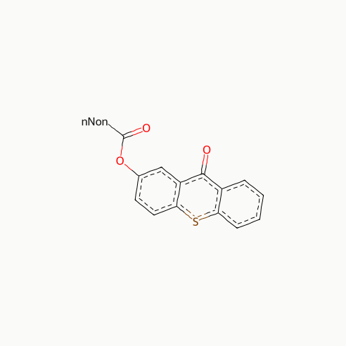 CCCCCCCCCC(=O)Oc1ccc2sc3ccccc3c(=O)c2c1